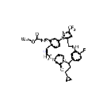 C/C=C\c1ccc(-n2nc(C(F)(F)F)cc2CNc2cc(C(CCC3CC3)n3ccncc3=O)ccc2F)cc1CNC(=O)OC(C)(C)C